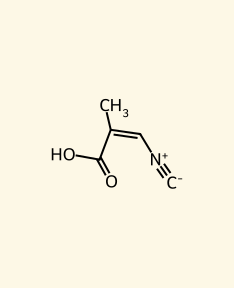 [C-]#[N+]C=C(C)C(=O)O